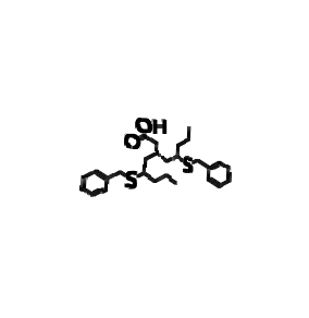 CCCC(CC(CC(=O)O)CC(CCC)SCc1ccccc1)SCc1ccccc1